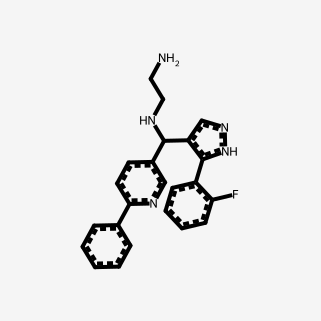 NCCNC(c1ccc(-c2ccccc2)nc1)c1cn[nH]c1-c1ccccc1F